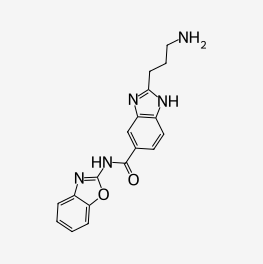 NCCCc1nc2cc(C(=O)Nc3nc4ccccc4o3)ccc2[nH]1